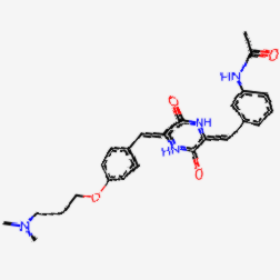 CC(=O)Nc1cccc(/C=c2\[nH]c(=O)/c(=C/c3ccc(OCCCN(C)C)cc3)[nH]c2=O)c1